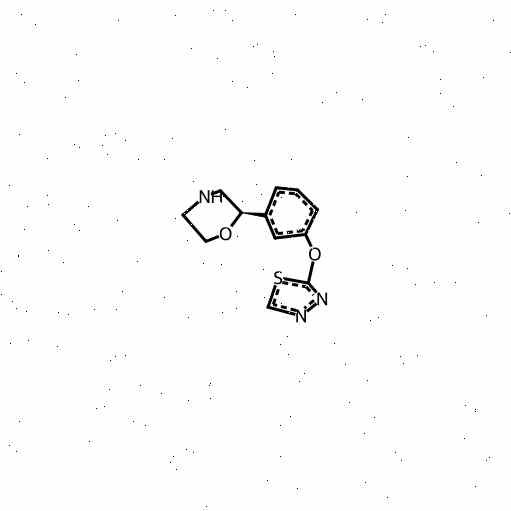 c1cc(Oc2nncs2)cc([C@@H]2CNCCO2)c1